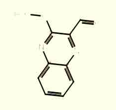 COc1nc2ccccc2nc1C=O